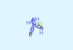 Cc1cc2c(Cl)c(Oc3nc(Nc4cc[nH]n4)cc(N4CCN(c5ccccc5)CC4)n3)ccc2[nH]1